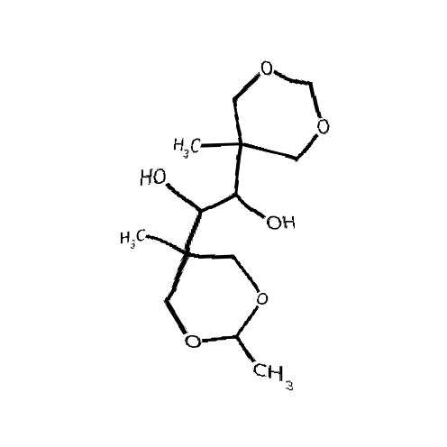 CC1OCC(C)(C(O)C(O)C2(C)COCOC2)CO1